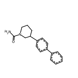 NC(=O)N1CC[CH]C(c2ccc(-c3ccccc3)cc2)C1